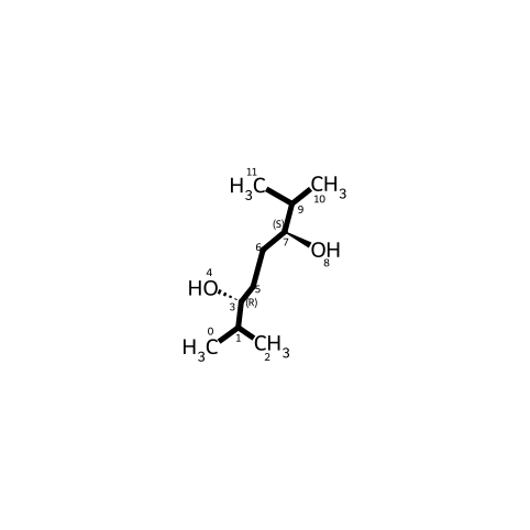 CC(C)[C@H](O)CC[C@H](O)C(C)C